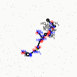 CC[C@H](C)[C@@H]([C@@H](CC(=O)N1CCC[C@H]1[C@H](OC)[C@@H](C)C(=O)N[C@@H](Cc1ccccc1)C(=O)O)OC)N(C)C(=O)[C@@H](NC(=O)[C@H](C(C)C)N(C)C(=O)OCc1ccc(NC(=O)[C@H](CCCCCNC(N)=O)NC(=O)[C@@H](NC(=O)CCCCCN2C(=O)CC(SCC(N)C(=O)NCCCn3nnc4c3CC[C@@H]3[C@H](CC4)[C@@H]3COC(N)=O)C2=O)C(C)C)cc1)C(C)C